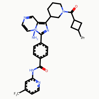 CC(C)C1CC(C(=O)N2CCCC(C3=C4C=NC=C[N+]4(N)C(c4ccc(C(=O)Nc5cc(C(F)(F)F)ccn5)cc4)=N3)C2)C1